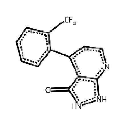 O=c1[nH][nH]c2nccc(-c3ccccc3C(F)(F)F)c12